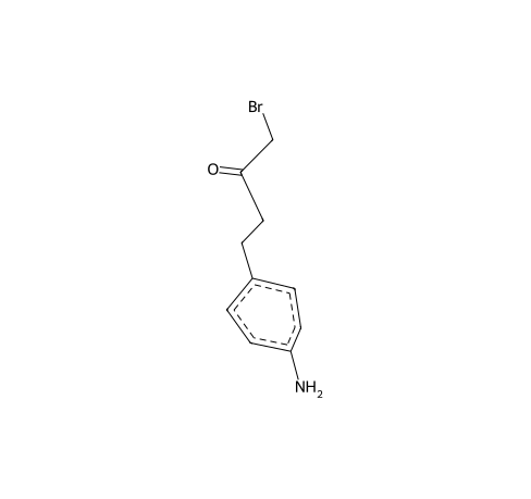 Nc1ccc(CCC(=O)CBr)cc1